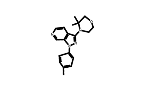 Cc1ccc(-n2nc(N3CCOCC3(C)C)c3ccncc32)cc1